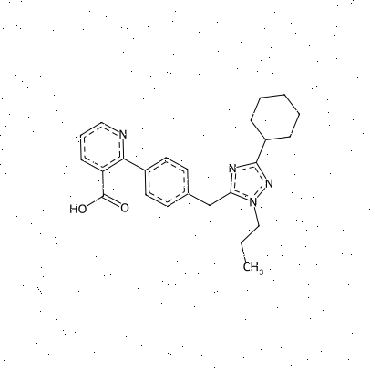 CCCn1nc(C2CCCCC2)nc1Cc1ccc(-c2ncccc2C(=O)O)cc1